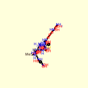 CSCC(O)N[C@@H](CCCCNC(O)c1ccc(/C=C/N(O)O)cc1)C(O)N[C@@H](CS)C(O)N[C@@H](CCCNC(N)N)C(O)NCC(O)N[C@@H](CC(O)O)C(O)N[C@@H](CS)C(O)N[C@@H](Cc1ccccc1)C(O)NC(C)C(O)NCCOCCOCCOCCNC(O)COCC(N)O